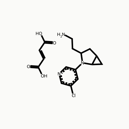 NCCC1CC2CC2N1c1cncc(Cl)c1.O=C(O)C=CC(=O)O